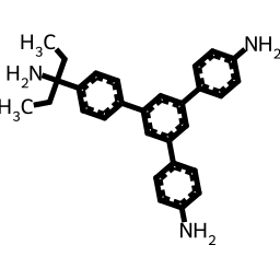 CCC(N)(CC)c1ccc(-c2cc(-c3ccc(N)cc3)cc(-c3ccc(N)cc3)c2)cc1